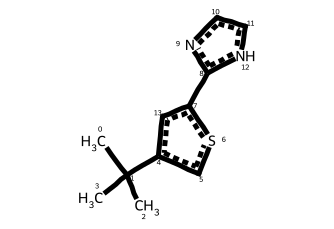 CC(C)(C)c1csc(-c2ncc[nH]2)c1